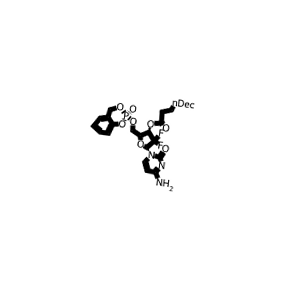 CCCCCCCCCCCCC(=O)O[C@@H]1C(COP2(=O)OCc3ccccc3O2)O[C@@H](n2ccc(N)nc2=O)C1(F)F